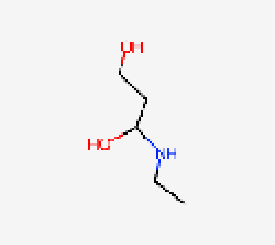 CCNC(O)CCO